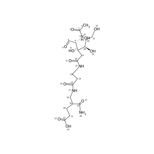 CC(=O)N[C@@H](C=O)[C@](O)(CC(=O)NCCC(=O)NCC(CCC(=O)O)C(N)=O)[C@H](O)[C@H](O)CO